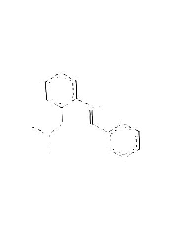 C[SiH](C)Oc1ccccc1N=Cc1ncccn1